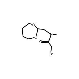 CN(CC1OCCCCO1)C(=O)CBr